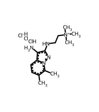 Cc1ccc2c(N)c(NCC[N+](C)(C)C)nn2c1C.Cl.Cl.[Cl-]